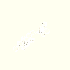 O=C(c1ccccc1)c1ccccc1N[C@@H](Cc1ccc(OCCCNC(=O)C2(Cc3ccccc3)CCCCC2)cc1)C(=O)O